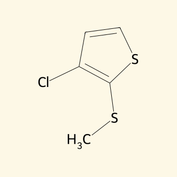 CSc1sccc1Cl